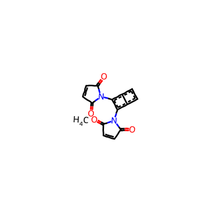 C.O=C1C=CC(=O)N1c1c2ccc-2c1N1C(=O)C=CC1=O